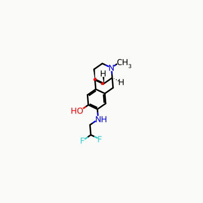 CN1CC[C@]23CCCC[C@H]2[C@@H]1Cc1cc(NCC(F)F)c(O)cc13